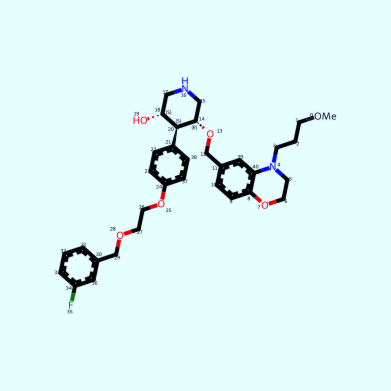 COCCCN1CCOc2ccc(CO[C@H]3CNC[C@@H](O)[C@@H]3c3ccc(OCCOCc4cccc(F)c4)cc3)cc21